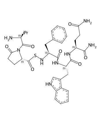 CC(C)[C@H](N)C(=O)N1C(=O)CC[C@H]1C(=O)SN[C@@H](Cc1ccccc1)C(=O)N[C@@H](Cc1c[nH]c2ccccc12)C(=O)N[C@@H](CCC(N)=O)C(N)=O